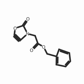 O=C(Cn1c#coc1=O)OCc1ccccc1